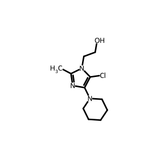 Cc1nc(N2CCCCC2)c(Cl)n1CCO